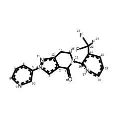 O=C1c2cn(-c3cccnc3)nc2CCN1c1ncccc1C(F)(F)F